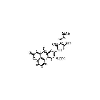 COc1ccc(N(C)c2cc(=O)oc3ccccc23)cc1NC(=O)C(CCSC)NC(C)C